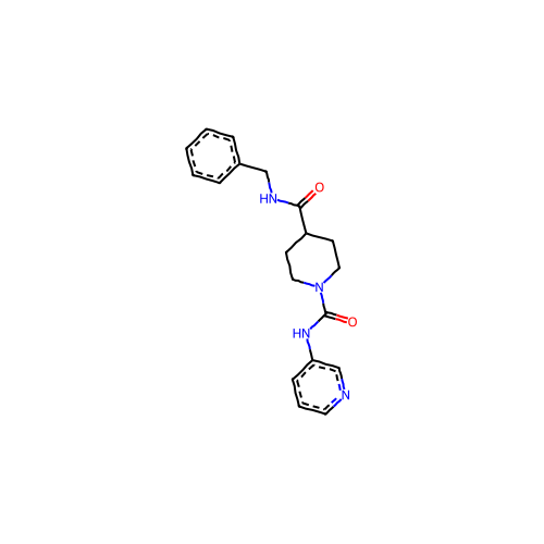 O=C(NCc1ccccc1)C1CCN(C(=O)Nc2cccnc2)CC1